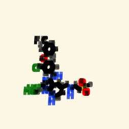 CS(=O)(=O)CCNCC1=Cc2c(ncnc2Nc2ccc(Oc3cccc(C(F)(F)F)c3)c(Cl)c2)NCC1.Cl.Cl